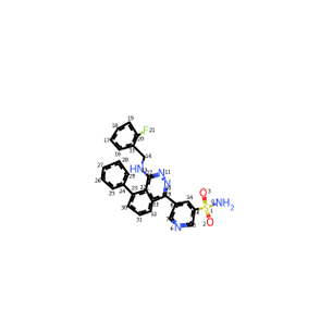 NS(=O)(=O)c1cncc(-c2nnc(NCc3ccccc3F)c3c(-c4ccccc4)cccc23)c1